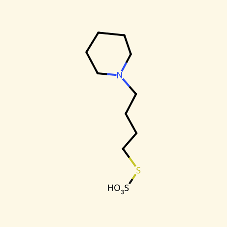 O=S(=O)(O)SCCCCN1CCCCC1